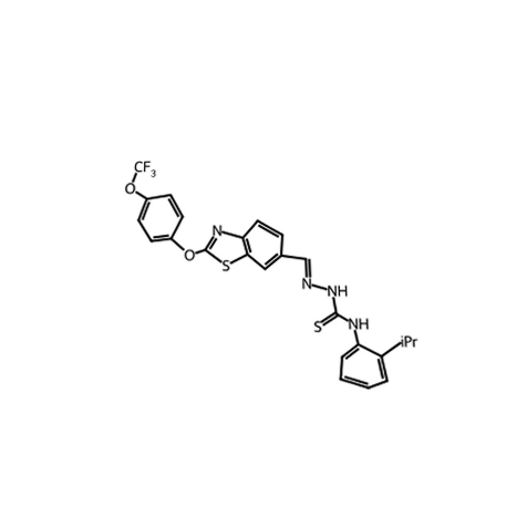 CC(C)c1ccccc1NC(=S)NN=Cc1ccc2nc(Oc3ccc(OC(F)(F)F)cc3)sc2c1